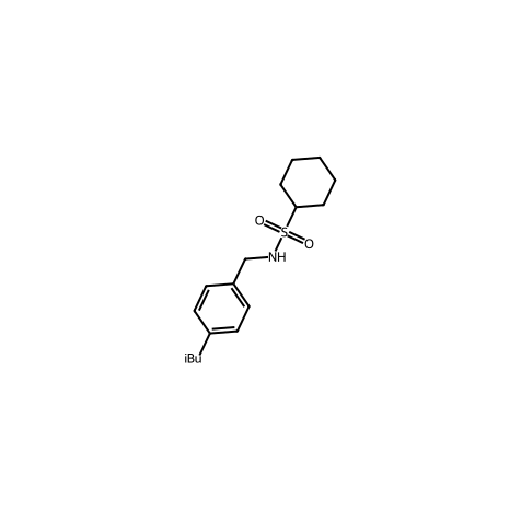 CCC(C)c1ccc(CNS(=O)(=O)C2CCCCC2)cc1